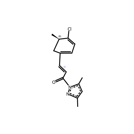 Cc1cc(C)n(C(=O)/C=C/C2=CC=C(Cl)[C@H](C)C2)n1